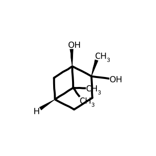 CC1(C)[C@@H]2CC[C@@](C)(O)[C@@]1(O)C2